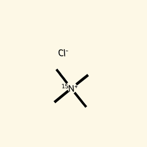 C[15N+](C)(C)C.[Cl-]